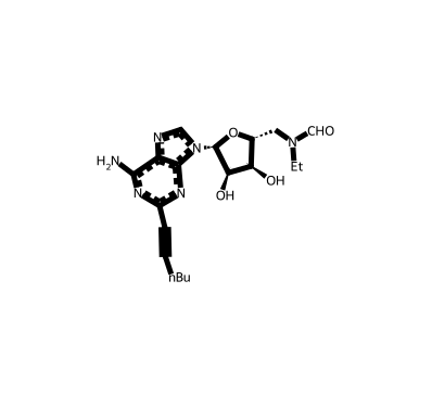 CCCCC#Cc1nc(N)c2ncn([C@@H]3O[C@H](CN(C=O)CC)[C@@H](O)[C@H]3O)c2n1